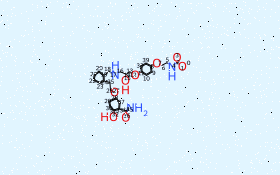 COC(=O)NCCOc1ccc(OCC(O)CNCc2ccccc2CCOc2ccc(O)c(C(N)=O)c2)cc1